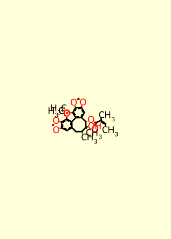 C/C=C(/C)C(=O)O[C@H]1c2cc3c(c(OC)c2-c2c(cc4c(c2OC)OCO4)C[C@H](C)[C@]1(C)O)OCO3